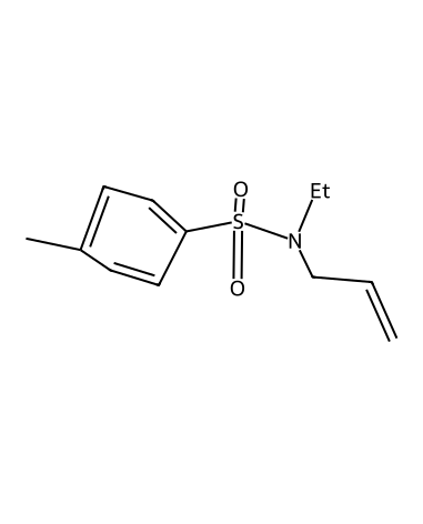 C=CCN(CC)S(=O)(=O)c1ccc(C)cc1